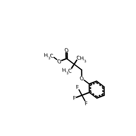 COC(=O)C(C)(C)COc1ccccc1C(F)(F)F